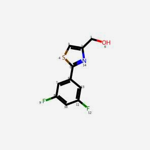 OCc1csc(-c2cc(F)cc(F)c2)n1